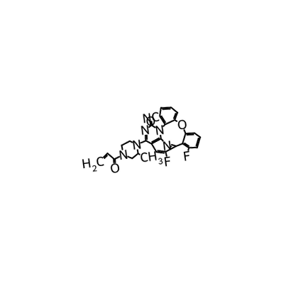 C=CC(=O)N1CCN(c2nc(=O)n3c4nc(c(F)cc24)c2c(F)cccc2oc2cccc(C#N)c23)C(C)C1